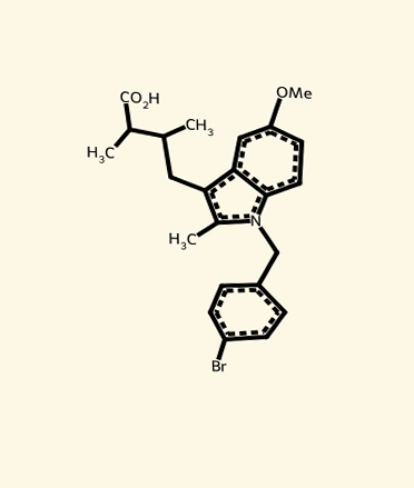 COc1ccc2c(c1)c(CC(C)C(C)C(=O)O)c(C)n2Cc1ccc(Br)cc1